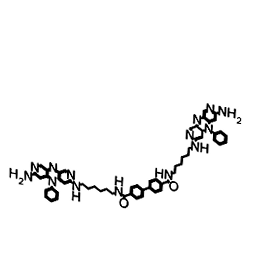 Nc1cc2c(cn1)N=C1C=NC(NCCCCCCNC(=O)c3ccc(-c4ccc(C(=O)NCCCCCCNc5cc6c(cn5)nc5cnc(N)cc5[n+]6-c5ccccc5)cc4)cc3)=CC1N2c1ccccc1